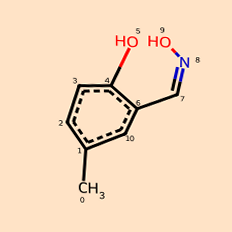 Cc1ccc(O)c(/C=N\O)c1